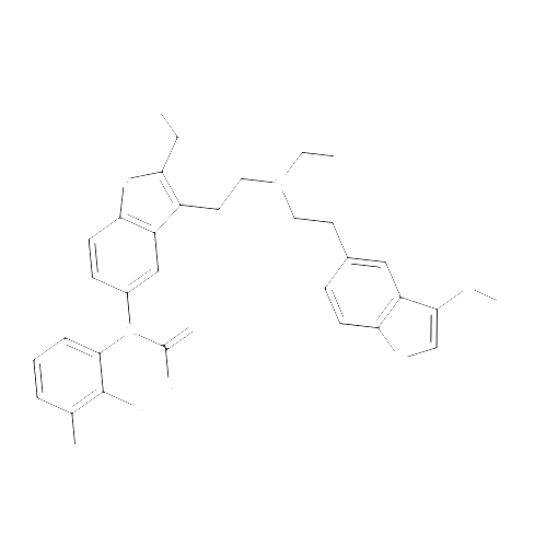 CCc1[nH]c2ccc(N(C(N)=S)c3cccc(Br)c3Br)cc2c1CCN(CC)CCc1ccc2occ(SC)c2c1